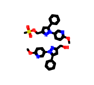 COc1ccc(-n2nc(CO)cc2-c2ccccc2)cn1.COc1ccc(-n2nc(COS(C)(=O)=O)cc2-c2ccccc2)cn1